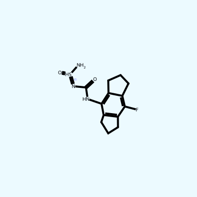 N/[SH](=O)=N\C(=O)Nc1c2c(c(F)c3c1CCC3)CCC2